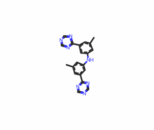 Cc1cc(Nc2cc(C)cc(-c3ncncn3)c2)cc(-c2ncncn2)c1